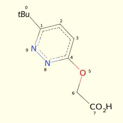 CC(C)(C)c1ccc(OCC(=O)O)nn1